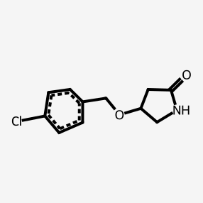 O=C1CC(OCc2ccc(Cl)cc2)CN1